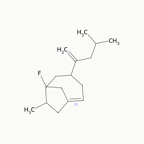 C=C(CC(C)C)C1C/C=C(\CCF)CC(C)CC1